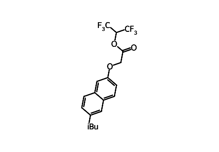 CCC(C)c1ccc2cc(OCC(=O)OC(C(F)(F)F)C(F)(F)F)ccc2c1